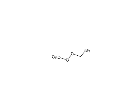 CCCCOOC=O